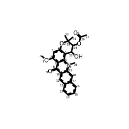 COc1cc2c(c3c1c(=O)c1cc4ccccc4cc1n3C)C(O)C(OC(C)=O)C(C)(C)O2